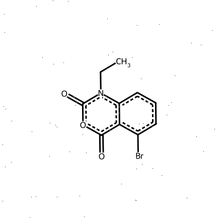 CCn1c(=O)oc(=O)c2c(Br)cccc21